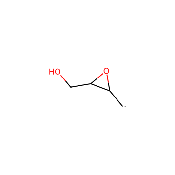 [CH2]C1OC1CO